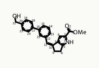 COC(=O)c1cc2c([nH]1)CCC2=Cc1cccc(-c2ccc(CO)cc2)c1